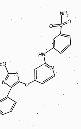 COc1nc(-c2ccccc2)c(Oc2ccnc(Nc3cccc(S(N)(=O)=O)c3)c2)s1